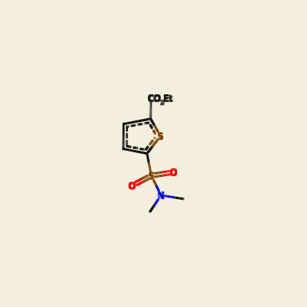 CCOC(=O)c1ccc(S(=O)(=O)N(C)C)s1